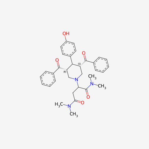 CN(C)C(=O)CC(C(=O)N(C)C)N1C[C@H](C(=O)c2ccccc2)C(c2ccc(O)cc2)[C@H](C(=O)c2ccccc2)C1